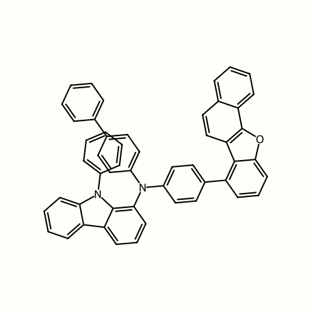 c1ccc(-c2ccc(N(c3ccc(-c4cccc5oc6c7ccccc7ccc6c45)cc3)c3cccc4c5ccccc5n(-c5ccccc5)c34)cc2)cc1